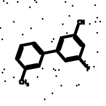 Cc1cccc(-c2cc(F)cc(C#N)c2)c1